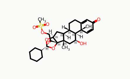 C[C@]12C=CC(=O)C=C1CC[C@@H]1[C@@H]2[C@@H](O)C[C@@]2(C)[C@H]1C[C@@H]1O[C@@H](C3CCCCC3)O[C@]12C(=O)COS(C)(=O)=O